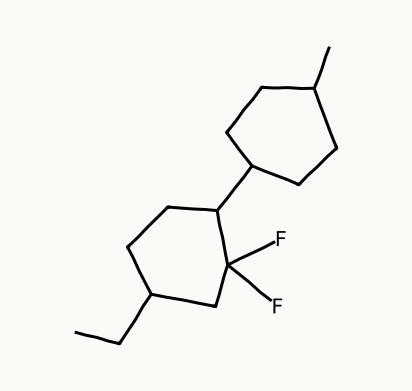 CCC1CCC(C2CCC(C)CC2)C(F)(F)C1